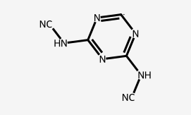 N#CNc1n[c]nc(NC#N)n1